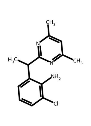 Cc1cc(C)nc(C(C)c2cccc(Cl)c2N)n1